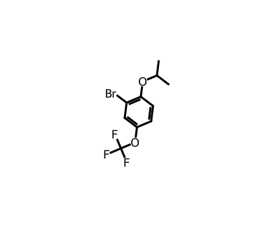 CC(C)Oc1ccc(OC(F)(F)F)cc1Br